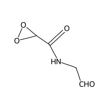 O=[14CH]CNC(=O)C1OO1